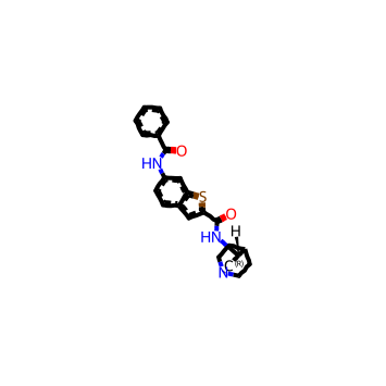 O=C(Nc1ccc2cc(C(=O)N[C@H]3CN4CCC3CC4)sc2c1)c1ccccc1